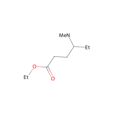 CCOC(=O)CCC(CC)NC